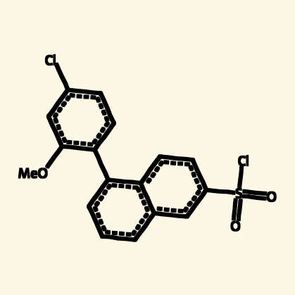 COc1cc(Cl)ccc1-c1cccc2cc(S(=O)(=O)Cl)ccc12